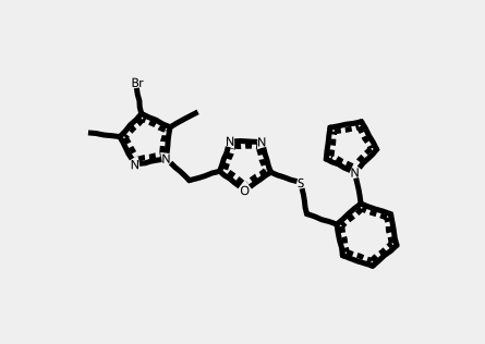 Cc1nn(Cc2nnc(SCc3ccccc3-n3cccc3)o2)c(C)c1Br